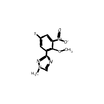 COc1c(-c2ncn(C)n2)cc(F)cc1[N+](=O)[O-]